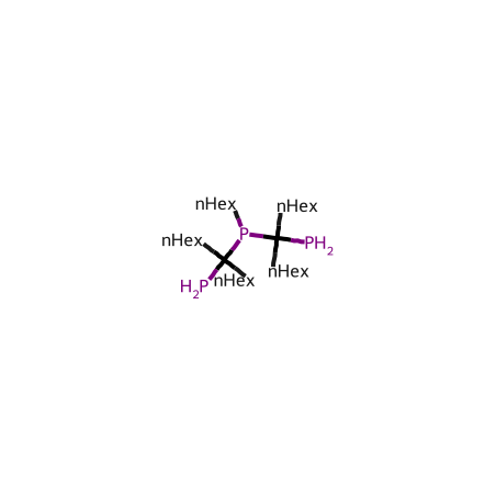 CCCCCCP(C(P)(CCCCCC)CCCCCC)C(P)(CCCCCC)CCCCCC